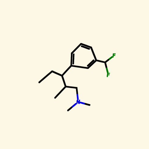 CCC(c1cccc(C(F)F)c1)C(C)CN(C)C